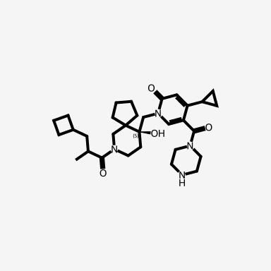 CC(CC1CCC1)C(=O)N1CC[C@@](O)(Cn2cc(C(=O)N3CCNCC3)c(C3CC3)cc2=O)C2(CCCC2)C1